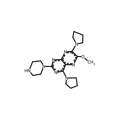 COc1nc2c(N3CCCC3)nc(N3CCNCC3)nc2nc1N1CCCC1